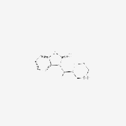 CC(C1CNCCO1)n1c(=O)[nH]c2ccccc21